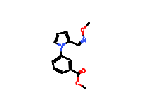 CO/N=C\c1cccn1-c1cccc(C(=O)OC)c1